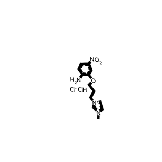 Cl.Cn1cc[n+](CCCOc2cc([N+](=O)[O-])ccc2N)c1.[Cl-]